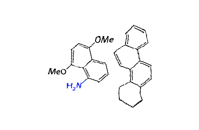 COc1ccc(OC)c2c(N)cccc12.c1ccc2c(c1)ccc1c3c(ccc12)CCCC3